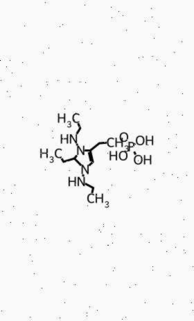 CCNN1C=C(CC)N(NCC)C1CC.O=P(O)(O)O